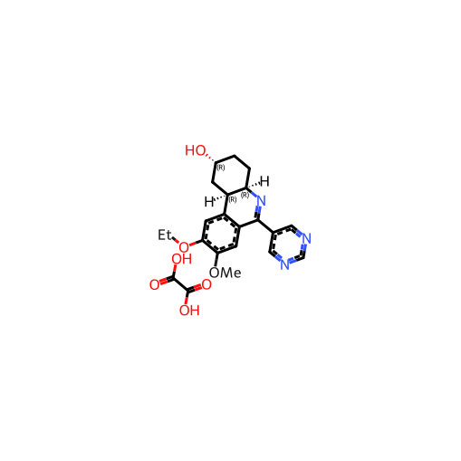 CCOc1cc2c(cc1OC)C(c1cncnc1)=N[C@@H]1CC[C@@H](O)C[C@H]21.O=C(O)C(=O)O